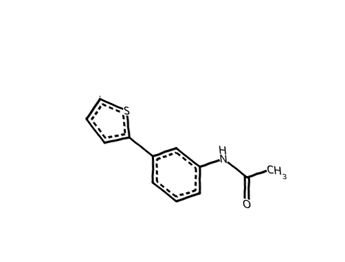 CC(=O)Nc1cccc(-c2cc[c]s2)c1